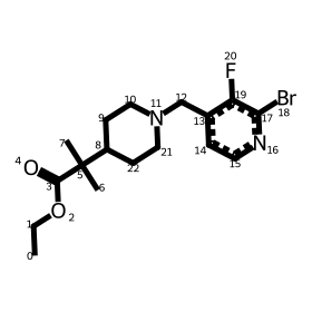 CCOC(=O)C(C)(C)C1CCN(Cc2ccnc(Br)c2F)CC1